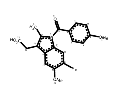 COc1ccc(C(=O)n2c(C)c(CC(=O)O)c3cc(OC)c(F)cc32)cc1